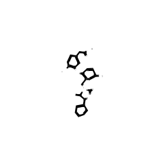 CC1C(c2ccccc2)OC(=O)N1Cc1cc(Br)ccc1Oc1cc(CC(=O)O)ccc1O